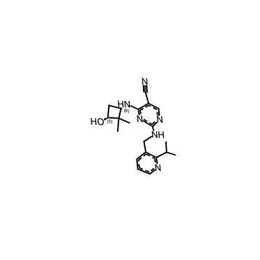 CC(C)c1ncccc1CNc1ncc(C#N)c(N[C@@H]2C[C@H](O)C2(C)C)n1